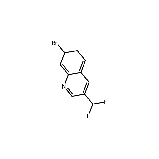 FC(F)c1cnc2c(c1)=CCC(Br)C=2